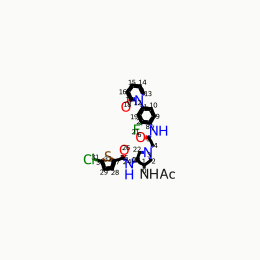 CC(=O)NC1CN(CC(=O)Nc2ccc(-n3ccccc3=O)cc2F)C[C@@H]1NC(=O)c1ccc(Cl)s1